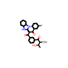 CC(=O)OC(C(=O)c1cccc(C(=O)C(C(=O)c2cccc(F)c2)=C2Nc3ccccc3N2)c1)C(C)O